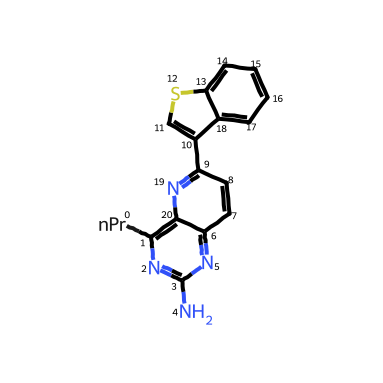 CCCc1nc(N)nc2ccc(-c3csc4ccccc34)nc12